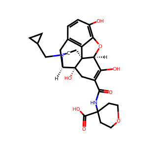 O=C(NC1(C(=O)O)CCOCC1)C1=C(O)[C@@H]2Oc3c(O)ccc4c3[C@@]23CCN(CC2CC2)[C@H](C4)[C@]3(O)C1